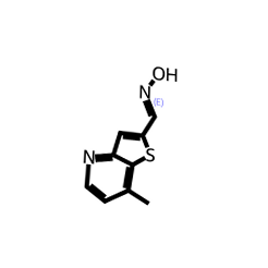 Cc1ccnc2cc(/C=N/O)sc12